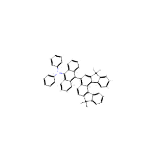 CC1(C)c2ccccc2-c2c1ccc1c(-c3c4ccccc4c(N(c4ccccc4)c4ccccc4)c4ccccc34)cc3c(c21)-c1ccccc1C3(C)C